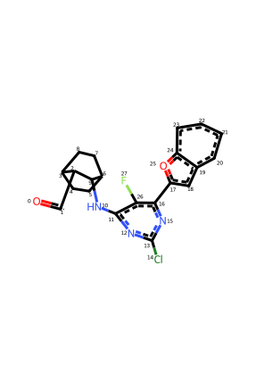 O=[C]C1C2CCC(CC2)C1Nc1nc(Cl)nc(-c2cc3ccccc3o2)c1F